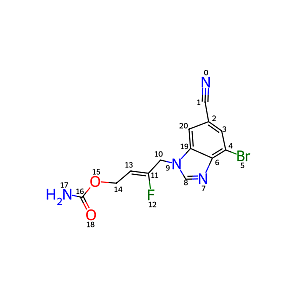 N#Cc1cc(Br)c2ncn(CC(F)=CCOC(N)=O)c2c1